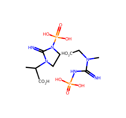 CC(C(=O)O)N1CCN(P(=O)(O)O)C1=N.CN(CC(=O)O)C(=N)NP(=O)(O)O